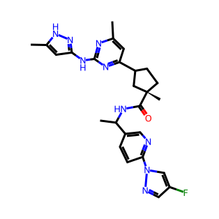 Cc1cc(C2CC[C@](C)(C(=O)NC(C)c3ccc(-n4cc(F)cn4)nc3)C2)nc(Nc2cc(C)[nH]n2)n1